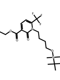 CCOC(=O)c1ccc(C(F)(F)F)n(CCCCO[Si](C)(C)C(C)(C)C)c1=O